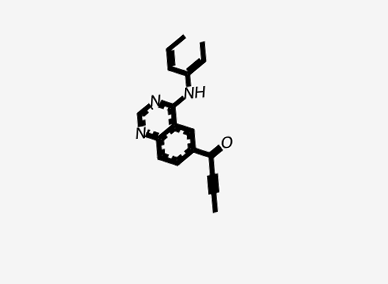 CC#CC(=O)c1ccc2ncnc(NC(/C=C\C)=C/C)c2c1